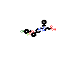 CC1(c2ccc(Cl)cc2F)Oc2cccc(C3CCN(Cc4ncc(/C=C/C(=O)O)n4C(C)(C)c4ccccc4)CC3)c2O1